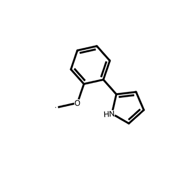 [CH2]Oc1ccccc1-c1ccc[nH]1